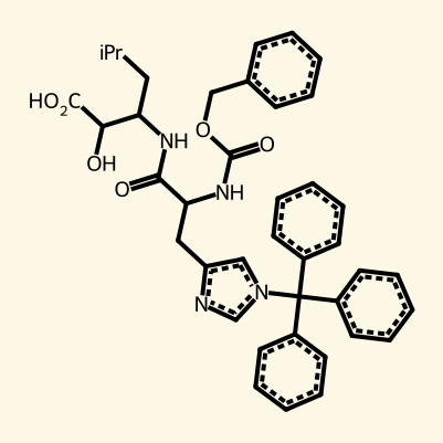 CC(C)CC(NC(=O)C(Cc1cn(C(c2ccccc2)(c2ccccc2)c2ccccc2)cn1)NC(=O)OCc1ccccc1)C(O)C(=O)O